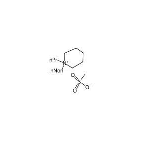 CCCCCCCCC[N+]1(CCC)CCCCC1.CS(=O)(=O)[O-]